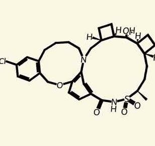 C[C@@H]1CC[C@H]2CC[C@@H]2[C@](C)(O)[C@@H]2CC[C@H]2CN2CCCCc3cc(Cl)ccc3COc3ccc(cc32)C(=O)NS1(=O)=O